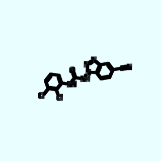 N#Cc1ccc2c(c1)nnn2NC(=O)Nc1cccc(Cl)c1Cl